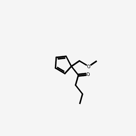 CCCC(=O)C1(COC)C=CC=C1